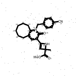 COC(=O)C1(C)C=C(c2cc3c(n(Cc4ccc(C#N)cc4)c2=O)CCCCCC3)N1